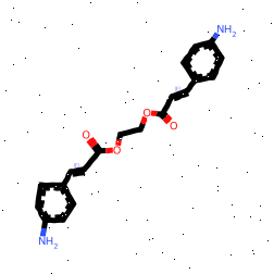 Nc1ccc(/C=C/C(=O)OCCOC(=O)/C=C/c2ccc(N)cc2)cc1